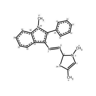 CC1=CN(C)C(N=Nc2c(-c3ccccc3)n(C)c3ccccc23)S1